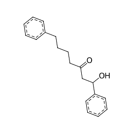 O=C(CCCCc1ccccc1)CC(O)c1ccccc1